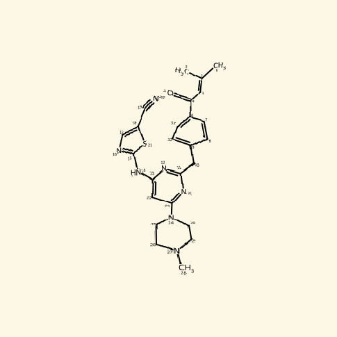 CC(C)=CC(=O)c1ccc(Cc2nc(Nc3ncc(C#N)s3)cc(N3CCN(C)CC3)n2)cc1